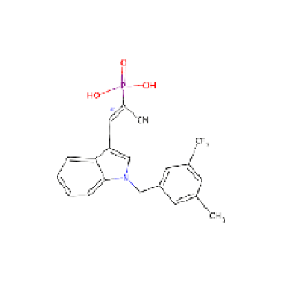 Cc1cc(Cn2cc(/C=C(\C#N)P(=O)(O)O)c3ccccc32)cc(C(F)(F)F)c1